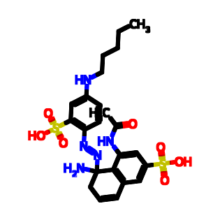 CCCCCNc1ccc(N=NC2(N)CC=Cc3cc(S(=O)(=O)O)cc(NC(C)=O)c32)c(S(=O)(=O)O)c1